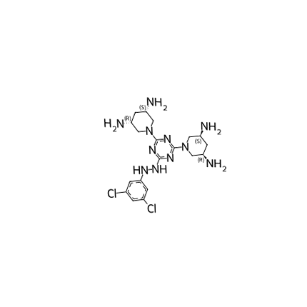 N[C@@H]1C[C@H](N)CN(c2nc(NNc3cc(Cl)cc(Cl)c3)nc(N3C[C@H](N)C[C@H](N)C3)n2)C1